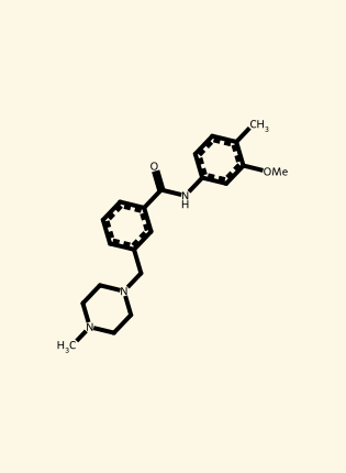 COc1cc(NC(=O)c2cccc(CN3CCN(C)CC3)c2)ccc1C